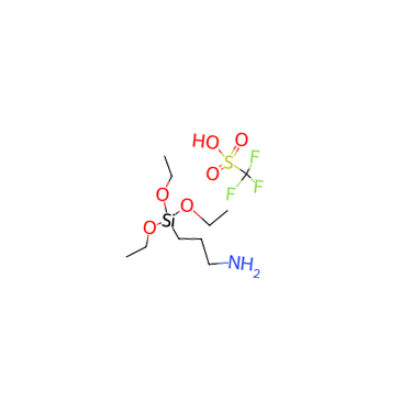 CCO[Si](CCCN)(OCC)OCC.O=S(=O)(O)C(F)(F)F